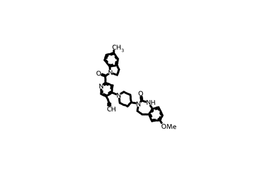 C#Cc1cnc(C(=O)N2CCc3cc(C)ccc32)cc1N1CCC(N2CCc3cc(OC)ccc3NC2=O)CC1